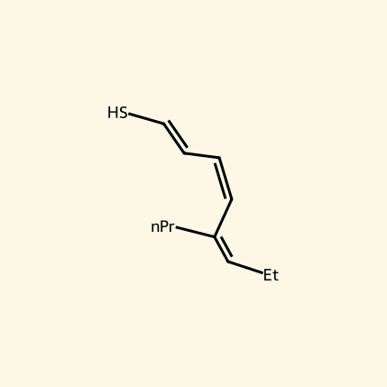 CC\C=C(/C=C\C=C\S)CCC